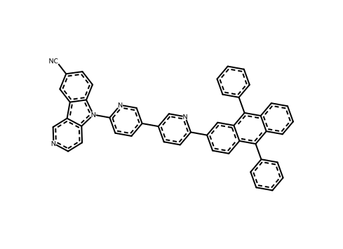 N#Cc1ccc2c(c1)c1cnccc1n2-c1ccc(-c2ccc(-c3ccc4c(-c5ccccc5)c5ccccc5c(-c5ccccc5)c4c3)nc2)cn1